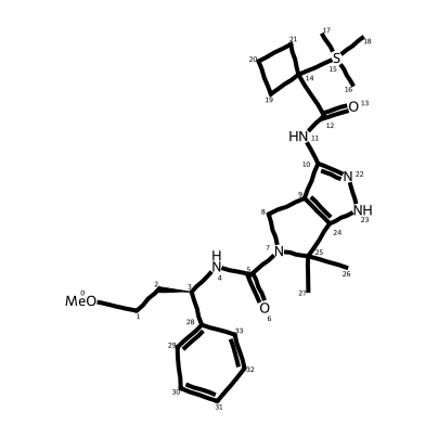 COCC[C@@H](NC(=O)N1Cc2c(NC(=O)C3(S(C)(C)C)CCC3)n[nH]c2C1(C)C)c1ccccc1